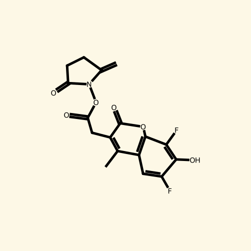 C=C1CCC(=O)N1OC(=O)Cc1c(C)c2cc(F)c(O)c(F)c2oc1=O